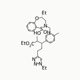 CCOC(=O)C(C)C(CCc1cn(CC)nn1)c1ccc(C)c(CN2C[C@@H](CC)Oc3ccccc3S2(O)O)c1